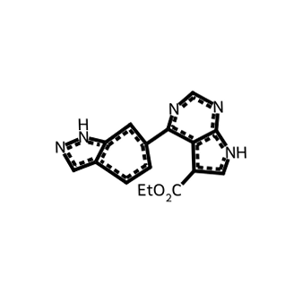 CCOC(=O)c1c[nH]c2ncnc(-c3ccc4cn[nH]c4c3)c12